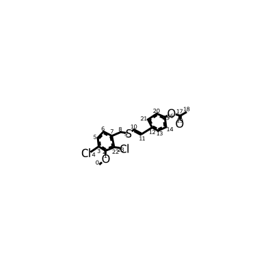 COc1c(Cl)ccc(CSC=Cc2ccc(OC(C)=O)cc2)c1Cl